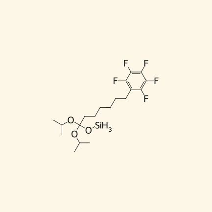 CC(C)OC(CCCCCCc1c(F)c(F)c(F)c(F)c1F)(O[SiH3])OC(C)C